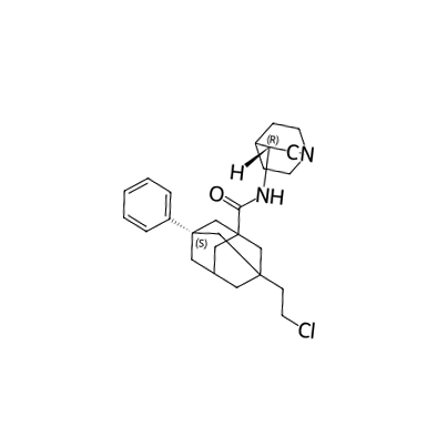 O=C(N[C@H]1CN2CCC1CC2)C12CC3CC(CCCl)(C1)C[C@@](c1ccccc1)(C3)C2